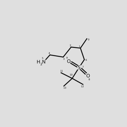 CC(CCCN)CS(=O)(=O)C(C)(C)C